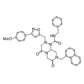 COc1ccc(-c2cc(CN3CC(=O)N4CC(=O)N(Cc5cccc6ccccc56)CC4N3C(=O)NCc3ccccc3)on2)cc1